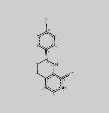 O=c1[nH]cnc2c1N[C@H](c1ccc(F)cc1)CC2